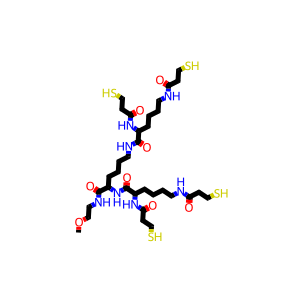 COCCNC(=O)C(CCCCNC(=O)C(CCCCNC(=O)CCS)NC(=O)CCS)NC(=O)C(CCCCNC(=O)CCS)NC(=O)CCS